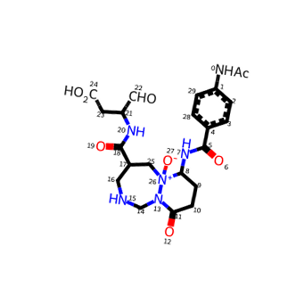 CC(=O)Nc1ccc(C(=O)NC2CCC(=O)N3CNCC(C(=O)NC(C=O)CC(=O)O)C[N+]23[O-])cc1